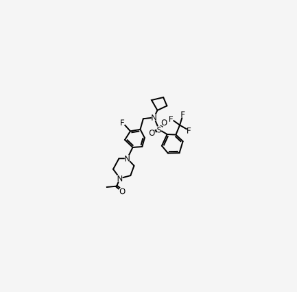 CC(=O)N1CCN(c2ccc(CN(C3CCC3)S(=O)(=O)c3ccccc3C(F)(F)F)c(F)c2)CC1